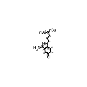 CCCCN(CCCC)CCCn1nc(N)c2cc(Cl)ccc21